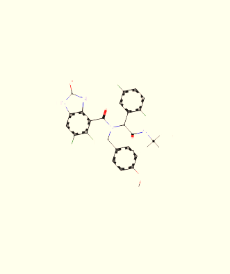 COc1ccc(CN(C(=O)c2c(F)c(Br)cc3c2NC(O)N3)C(C(=O)NC(C)(C)C)c2cc(F)ccc2Cl)cc1